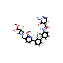 COC(=O)C1(F)CN(Cc2ccc(-c3cccc(-c4cccc(NC(=O)c5ccnn(C)c5=O)c4Cl)c3Cl)nc2OC)C1